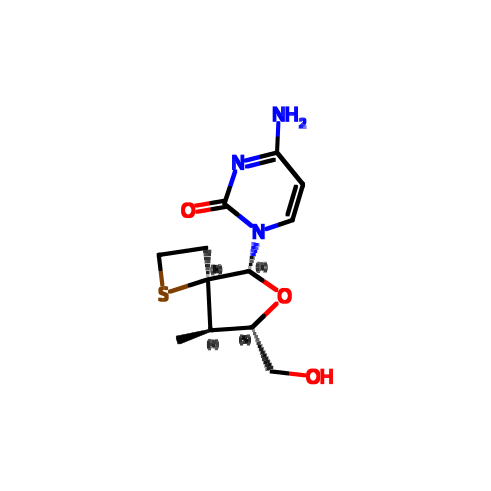 C[C@@H]1[C@@H](CO)O[C@@H](n2ccc(N)nc2=O)[C@@]12CCS2